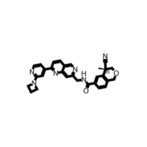 C[C@@]1(C#N)COCc2ccc(C(=O)NCc3cc4nc(-c5ccnc(N6CCC6)c5)ccc4cn3)cc21